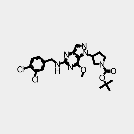 COc1nc(NCc2ccc(Cl)c(Cl)c2)nc2cnn(C3CCN(C(=O)OC(C)(C)C)C3)c12